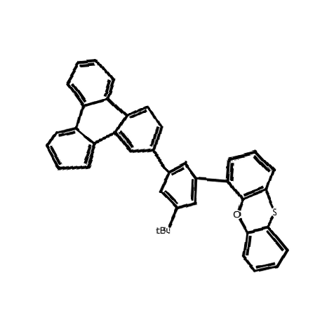 CC(C)(C)c1cc(-c2ccc3c4ccccc4c4ccccc4c3c2)cc(-c2cccc3c2Oc2ccccc2S3)c1